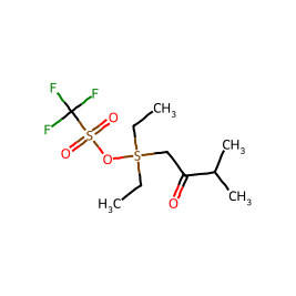 CCS(CC)(CC(=O)C(C)C)OS(=O)(=O)C(F)(F)F